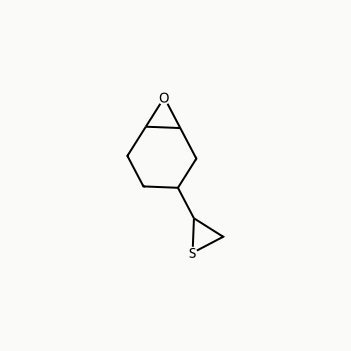 C1CC2OC2CC1C1CS1